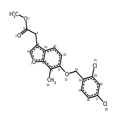 COC(=O)Cc1coc2c(C)c(OCc3ccc(Cl)cc3Cl)ccc12